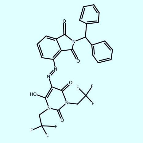 O=C1c2cccc(N=Nc3c(O)n(CC(F)(F)F)c(=O)n(CC(F)(F)F)c3=O)c2C(=O)N1C(c1ccccc1)c1ccccc1